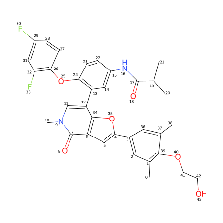 Cc1cc(-c2cc3c(=O)n(C)cc(-c4cc(NC(=O)C(C)C)ccc4Oc4ccc(F)cc4F)c3o2)cc(C)c1OCCO